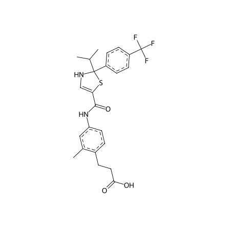 Cc1cc(NC(=O)C2=CNC(c3ccc(C(F)(F)F)cc3)(C(C)C)S2)ccc1CCC(=O)O